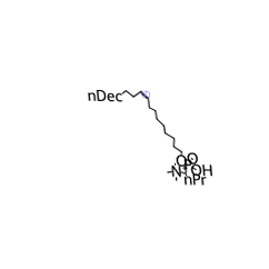 CCCCCCCCCCCC/C=C\CCCCCCCCOP(=O)(O)C(CCC)[N+](C)(C)C